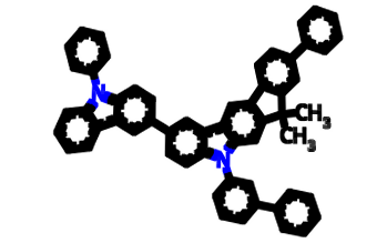 CC1(C)c2cc(-c3ccccc3)ccc2-c2cc3c4cc(-c5ccc6c(c5)c5ccccc5n6-c5ccccc5)ccc4n(-c4cccc(-c5ccccc5)c4)c3cc21